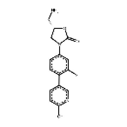 NC[C@H]1CN(c2ccc(-c3ccc(O)nc3)c(F)c2)C(=O)O1